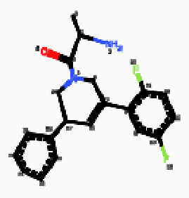 CC(N)C(=O)N1CC(c2cc(F)ccc2F)=CC(c2ccccc2)C1